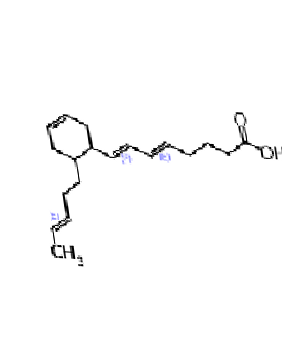 C/C=C/CCC1CC=CCC1/C=C/C=C/CCCC(=O)O